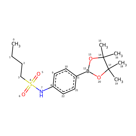 CCCCS(=O)(=O)Nc1ccc(B2OC(C)(C)C(C)(C)O2)cc1